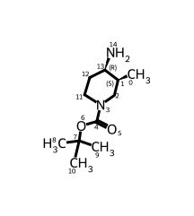 C[C@H]1CN(C(=O)OC(C)(C)C)CC[C@H]1N